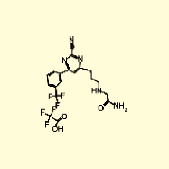 N#Cc1nc(CCCNCC(N)=O)cc(-c2cccc(C(F)(F)F)c2)n1.O=C(O)C(F)(F)F